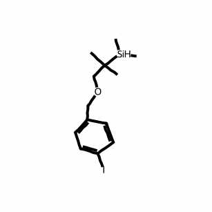 C[SiH](C)C(C)(C)COCc1ccc(I)cc1